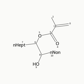 C=C(C)C(=O)OC(CCCCCCC)C(O)CCCCCCCCC